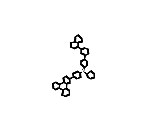 c1ccc(N(c2ccc(-c3cccc(-c4cccc5ccccc45)c3)cc2)c2ccc(-c3ccc4c5ccccc5c5ccccc5c4c3)cc2)cc1